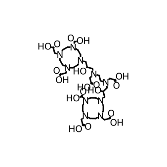 O=C(O)CN1CCN(CC(=O)O)CCN(C(=O)O)CCN(CC(O)CN(CCN(CC(=O)O)CC(O)CN2CCN(CC(=O)O)CCN(CC(=O)O)CCN(C(=O)O)CC2)CC(=O)O)CC1